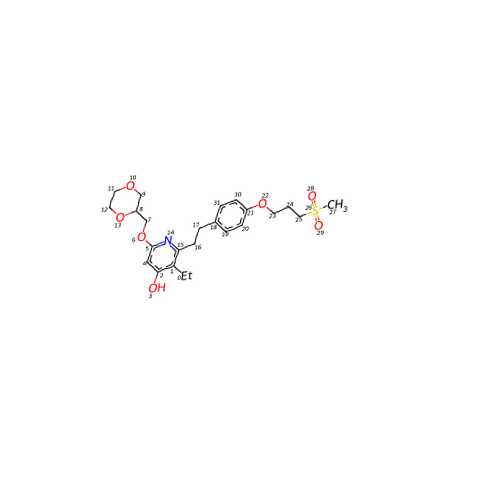 CCc1c(O)cc(OCC2COCCO2)nc1CCc1ccc(OCCCS(C)(=O)=O)cc1